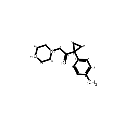 Cc1ccc(C2(C(=O)CN3CCOCC3)CC2)cc1